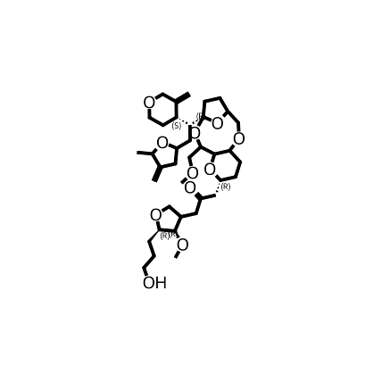 C=C1CC(CC([C@@H]2CCOCC2=C)[C@@]23CCC(COC4CC[C@H](CC(=O)CC5CO[C@H](CCCO)[C@@H]5OC)OC4C(COC)O2)O3)OC1C